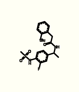 CC(NC(=O)Cc1ccccc1C(C)(C)C)c1ccc(NS(C)(=O)=O)c(F)c1